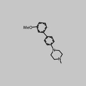 COc1cc[c]c(-c2ccc(N3CCN(C)CC3)cc2)c1